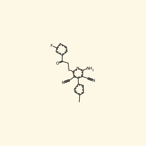 Cc1ccc(-c2c(C#N)c(N)nc(SCC(=O)c3cccc(F)c3)c2C#N)cc1